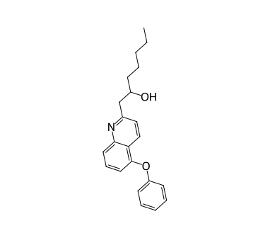 CCCCCC(O)Cc1ccc2c(Oc3ccccc3)cccc2n1